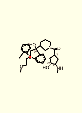 CN[C@@H]1C[C@H](C(=O)N2CCCC([C@@](O)(CCCCOC)c3ccccc3Oc3ccccc3C)C2)C[C@H]1O